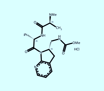 CN[C@@H](C)C(=O)N[C@H](C(=O)N1c2ncccc2C[C@H]1CNC(=O)OC)C(C)C.Cl